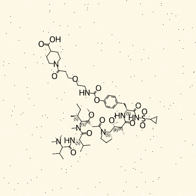 CC[C@H](C)[C@@H]([C@@H](CC(=O)N1CCC[C@H]1[C@H](OC)[C@@H](C)C(=O)N[C@@H](Cc1ccc(OC(=O)NCCOCCC(=O)N2CCC(C(=O)O)CC2)cc1)C(=O)NS(=O)(=O)C1CC1)OC)N(C)C(=O)[C@@H](NC(=O)C(C(C)C)N(C)C)C(C)C